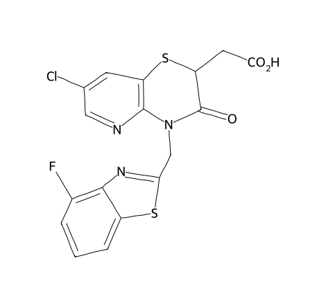 O=C(O)CC1Sc2cc(Cl)cnc2N(Cc2nc3c(F)cccc3s2)C1=O